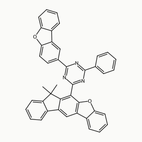 CC1(C)c2ccccc2-c2cc3c(oc4ccccc43)c(-c3nc(-c4ccccc4)nc(-c4ccc5oc6ccccc6c5c4)n3)c21